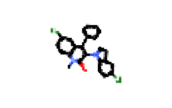 Cn1c(=O)c(-n2ccc3cc(Cl)ccc32)c(-c2ccccc2)c2cc(Cl)ccc21